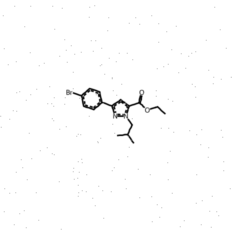 CCOC(=O)c1cc(-c2ccc(Br)cc2)nn1CC(C)C